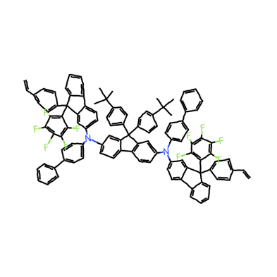 C=Cc1ccc(C2(c3c(F)c(F)c(F)c(F)c3F)c3ccccc3-c3ccc(N(c4ccc(-c5ccccc5)cc4)c4ccc5c(c4)C(c4ccc(C(C)(C)C)cc4)(c4ccc(C(C)(C)C)cc4)c4cc(N(c6ccc(-c7ccccc7)cc6)c6ccc7c(c6)C(c6ccc(C=C)cc6)(c6c(F)c(F)c(F)c(F)c6F)c6ccccc6-7)ccc4-5)cc32)cc1